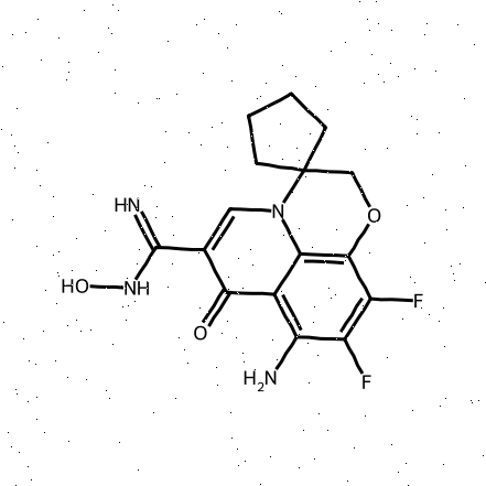 N=C(NO)c1cn2c3c(c(F)c(F)c(N)c3c1=O)OCC21CCCC1